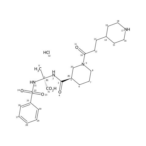 C[C@@](NC(=O)[C@@H]1CCCN(C(=O)CCC2CCNCC2)C1)(NS(=O)(=O)c1ccccc1)C(=O)O.Cl